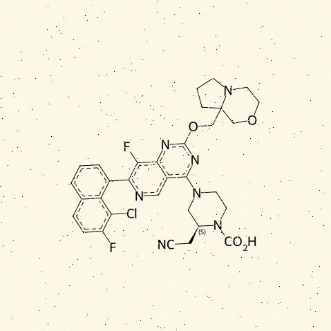 N#CC[C@H]1CN(c2nc(OCC34CCCN3CCOC4)nc3c(F)c(-c4cccc5ccc(F)c(Cl)c45)ncc23)CCN1C(=O)O